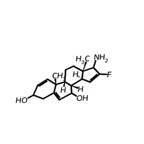 C[C@]12C=CC(O)CC1=CC(O)[C@@H]1[C@H]2CC[C@]2(C)C(N)C(F)=C[C@@H]12